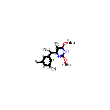 CCCCOC1=NC(C(C#N)c2cc(C)cc(C#N)c2)=C(CC)C(OCCCC)N1